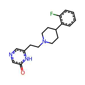 O=c1cncc(CCN2CCC(c3ccccc3F)CC2)[nH]1